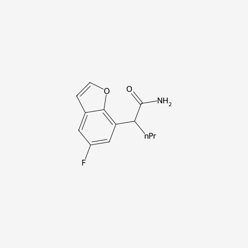 CCCC(C(N)=O)c1cc(F)cc2ccoc12